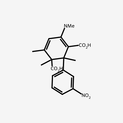 CNC1=C(C(=O)O)C(C)(c2cccc([N+](=O)[O-])c2)C(C)(C(=O)O)C(C)=C1